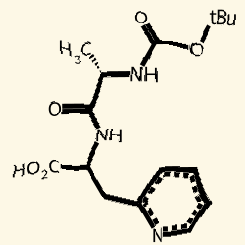 C[C@H](NC(=O)OC(C)(C)C)C(=O)NC(Cc1ccccn1)C(=O)O